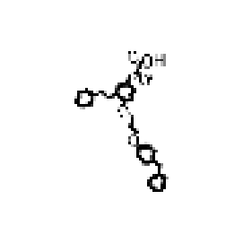 CO[C@@H](Cc1ccc(OCCCOc2ccc(Cc3ccccc3)cc2)c(CCc2ccccc2)c1)C(=O)O